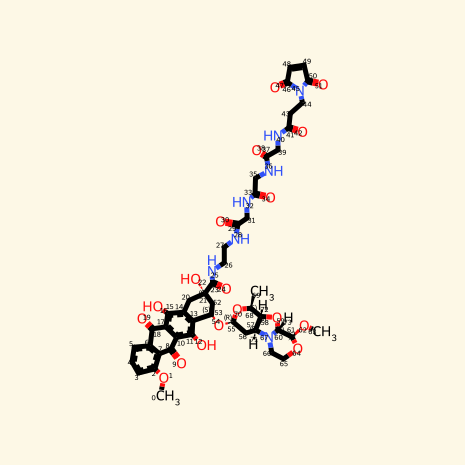 COc1cccc2c1C(=O)c1c(O)c3c(c(O)c1C2=O)C[C@@](O)(C(=O)NCCNC(=O)CNC(=O)CNC(=O)CNC(=O)CCN1C(=O)C=CC1=O)C[C@@H]3O[C@H]1C[C@H]2[C@H](O[C@@H]3[C@@H](OC)OCCN32)[C@H](C)O1